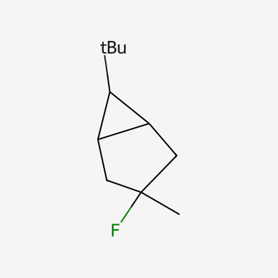 CC1(F)CC2C(C1)C2C(C)(C)C